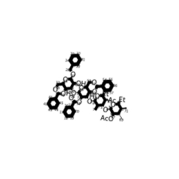 CCC1O[C@@H](O[C@@H]2C(C)[C@H](O[C@@H]3C(OC(=O)c4ccccc4)[C@H](O[C@@H]4C(O)[C@H](OCc5ccccc5)OC5COC(c6ccccc6)O[C@H]54)OC4COC(c5ccccc5)O[C@H]43)OC(CC)[C@H]2C(C)=O)C(OC(C)=O)[C@@H](C)[C@@H]1C